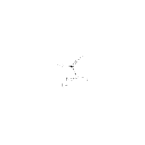 COC(=O)[O-].[Fe].[Na+]